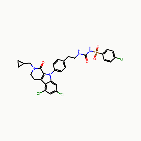 O=C(NCCc1ccc(-n2c3c(c4c(Cl)cc(Cl)cc42)CCN(CC2CC2)C3=O)cc1)NS(=O)(=O)c1ccc(Cl)cc1